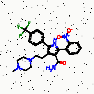 CN1CCN(CCc2c(-c3ccc(C(F)(F)F)cc3)[nH]c(-c3ccccc3[N+](=O)[O-])c2C(N)=O)CC1